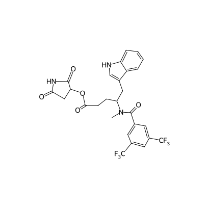 CN(C(=O)c1cc(C(F)(F)F)cc(C(F)(F)F)c1)C(CCC(=O)OC1CC(=O)NC1=O)Cc1c[nH]c2ccccc12